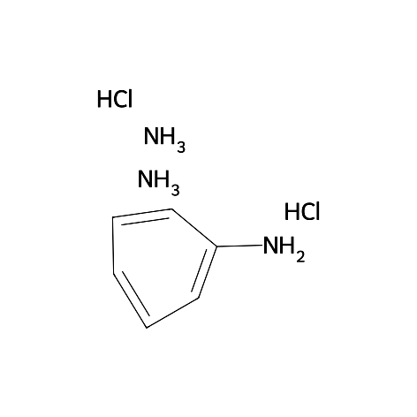 Cl.Cl.N.N.Nc1ccccc1